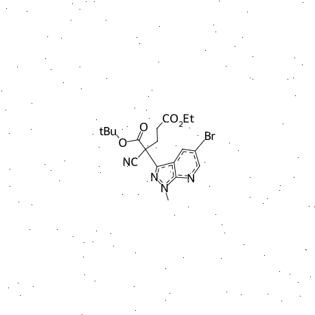 CCOC(=O)CCC(C#N)(C(=O)OC(C)(C)C)c1nn(C)c2ncc(Br)cc12